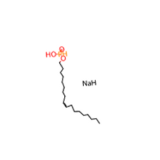 CCCCCCCC/C=C\CCCCCCCCO[PH](=O)O.[NaH]